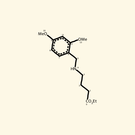 CCOC(=O)CCCNCc1ccc(OC)cc1OC